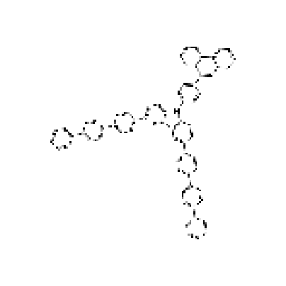 c1ccc(-c2ccc(-c3ccc(-c4ccc5c(c4)c4cc(-c6ccc(-c7ccc(-c8ccccc8)cc7)cc6)ccc4n5-c4ccc(-c5cc6ccccc6c6ccccc56)cc4)cc3)cc2)cc1